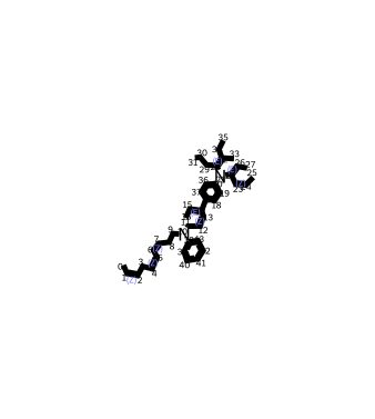 C/C=C\C/C=C\C=C/CCN(C/C=C\C(=C/C)c1ccc(N(C(/C=C\C)=C/C)/C(CCC)=C(\C)CC)cc1)c1ccccc1